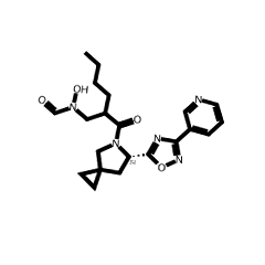 CCCCC(CN(O)C=O)C(=O)N1CC2(CC2)C[C@H]1c1nc(-c2cccnc2)no1